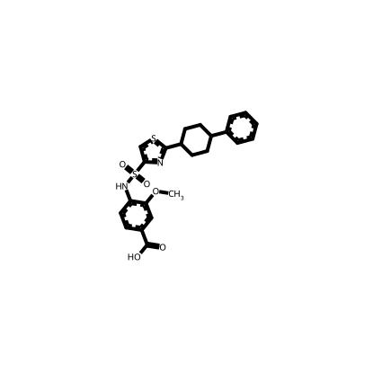 COc1cc(C(=O)O)ccc1NS(=O)(=O)c1csc(C2CCC(c3ccccc3)CC2)n1